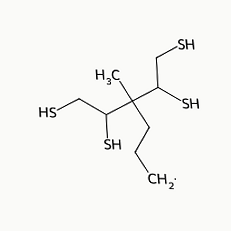 [CH2]CCC(C)(C(S)CS)C(S)CS